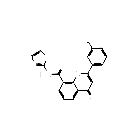 O=C(Nc1nccs1)c1cccc2c(=O)cc(-c3cccc(Cl)c3)[nH]c12